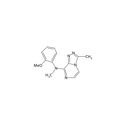 COc1ccccc1N(C)c1nccn2c(C)nnc12